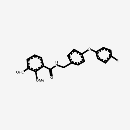 COc1c(C=O)cccc1C(=O)NCc1ccc(Oc2ccc(F)cc2)cc1